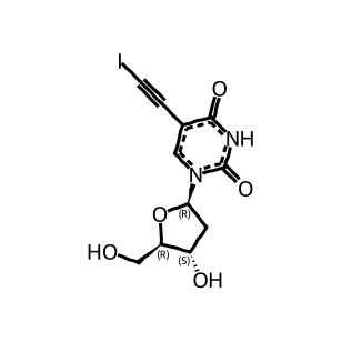 O=c1[nH]c(=O)n([C@H]2C[C@H](O)[C@@H](CO)O2)cc1C#CI